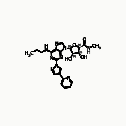 CCCNc1nc(-n2cc(-c3ccccn3)cn2)nc2c1ncn2[C@@H]1O[C@H](C(=O)NC)[C@@H](O)[C@H]1O